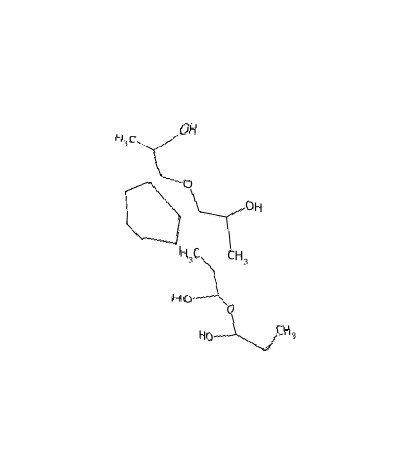 C1CCCCC1.CC(O)COCC(C)O.CCC(O)OC(O)CC